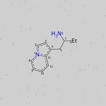 CCC(N)Cc1ccn2ccccc12